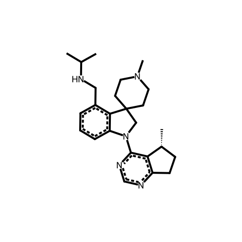 CC(C)NCc1cccc2c1C1(CCN(C)CC1)CN2c1ncnc2c1[C@H](C)CC2